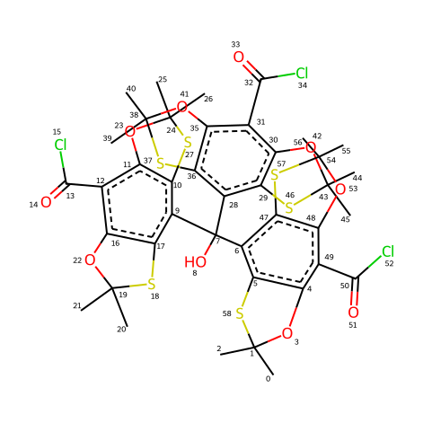 CC1(C)Oc2c(c(C(O)(c3c4c(c(C(=O)Cl)c5c3SC(C)(C)O5)OC(C)(C)S4)c3c4c(c(C(=O)Cl)c5c3SC(C)(C)O5)OC(C)(C)S4)c3c(c2C(=O)Cl)OC(C)(C)S3)S1